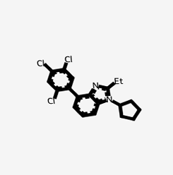 CCc1nc2c(-c3cc(Cl)c(Cl)cc3Cl)cccc2n1C1CCCC1